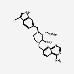 COC[C@@H]1C(C=O)N(Cc2ccc3c(N)ncnc3c2)CCN1Cc1ccc2c(Cl)c[nH]c2c1